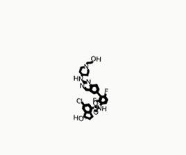 O=S(=O)(Nc1ccc(F)c(-c2ccc3nc(NC4CCN(CCO)CC4)ncc3c2)c1F)c1cc(Cl)cc2c1CC[C@H]2O